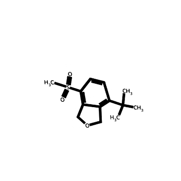 CC(C)(C)c1ccc(S(C)(=O)=O)c2c1COC2